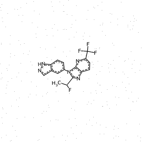 CC(F)c1nc2ccc(C(F)(F)F)nc2n1-c1ccc2[nH]ncc2c1